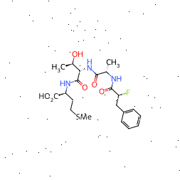 CSCC[C@H](NC(=O)[C@@H](NC(=O)[C@H](C)NC(=O)[C@@H](F)Cc1ccccc1)[C@@H](C)O)C(=O)O